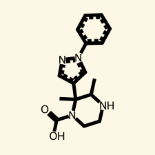 CC1NCCN(C(=O)O)C1(C)c1cnn(-c2ccccc2)c1